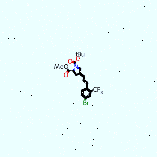 COC(=O)[C@@H]1CC(=CC=Cc2ccc(Br)cc2C(F)(F)F)CN1C(=O)OC(C)(C)C